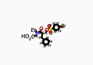 CCN(CC(=O)O)C(=O)[C@H](COS(=O)(=O)c1ccc(Br)cc1)Cc1ccccc1